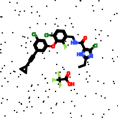 CCc1nc(Cl)c(C(=O)NCc2ccc(Cl)c(Oc3cc(Cl)cc(C#CC4CC4)c3)c2F)[nH]1.O=C(O)C(F)(F)F